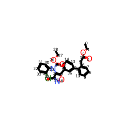 CCOC(=O)Cc1ccccc1-c1cccc(-c2onc(C)c2N(C(=O)OCC)c2ccccc2Cl)c1